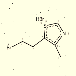 Br.Cc1ncsc1CCBr